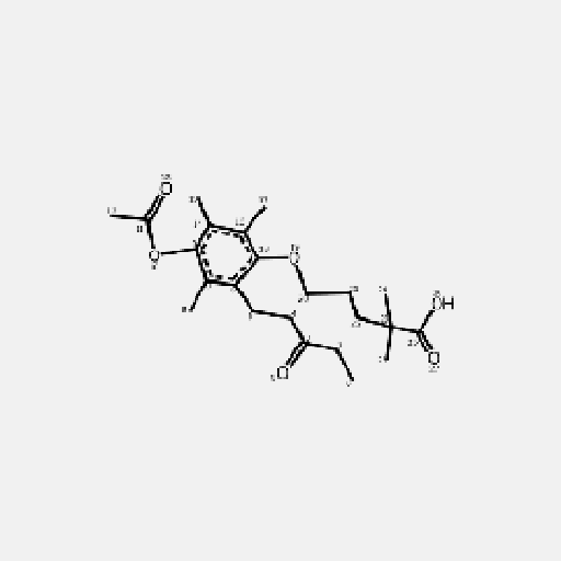 CCC(=O)CCc1c(C)c(OC(C)=O)c(C)c(C)c1OCCCC(C)(C)C(=O)O